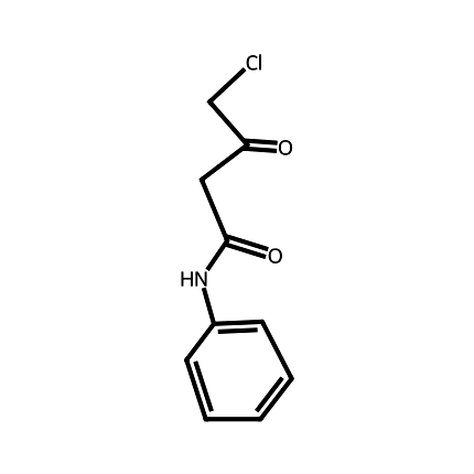 O=C(CCl)CC(=O)Nc1ccccc1